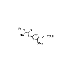 COc1cc(OC(=O)C(O)CC(C)C)ccc1CCC(=O)O